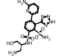 NC[C@@H](CO)NS(=O)(=O)c1ccc(-c2cccc(N)n2)c(-c2nn[nH]n2)c1S(N)(=O)=O